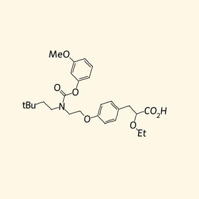 CCOC(Cc1ccc(OCCN(CCC(C)(C)C)C(=O)Oc2cccc(OC)c2)cc1)C(=O)O